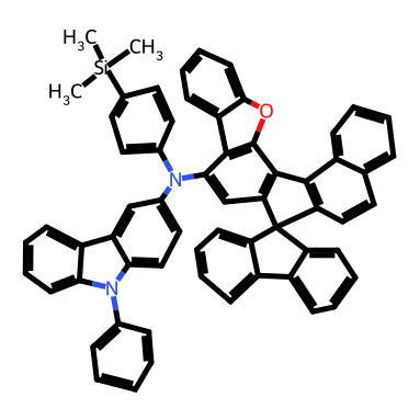 C[Si](C)(C)c1ccc(N(c2ccc3c(c2)c2ccccc2n3-c2ccccc2)c2cc3c(c4oc5ccccc5c24)-c2c(ccc4ccccc24)C32c3ccccc3-c3ccccc32)cc1